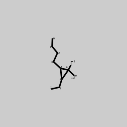 CCCCC1C(CC)C1(F)F